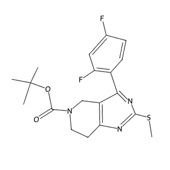 CSc1nc2c(c(-c3ccc(F)cc3F)n1)CN(C(=O)OC(C)(C)C)CC2